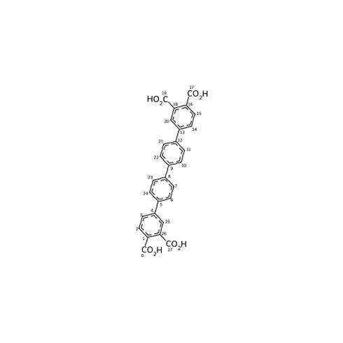 O=C(O)c1ccc(-c2ccc(-c3ccc(-c4ccc(C(=O)O)c(C(=O)O)c4)cc3)cc2)cc1C(=O)O